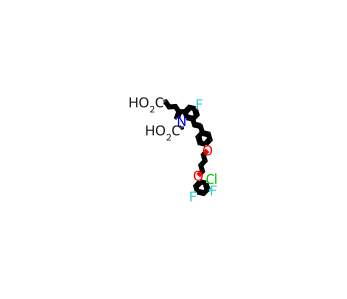 O=C(O)CCCc1cn(CC(=O)O)c2c(C=Cc3ccc(OCCCCOc4cc(F)cc(F)c4Cl)cc3)cc(F)cc12